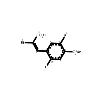 CCC(=Cc1cc(F)c(OC)cc1F)C(=O)O